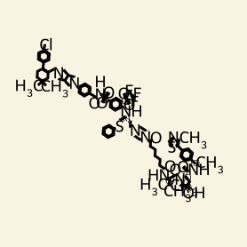 Cc1ncsc1-c1ccc([C@H](C)NC(=O)[C@@H]2C[C@@H](O)CN2C(=O)[C@@H](NC(=O)CCCCCC(=O)N2CCN(CC[C@H](CSc3ccccc3)Nc3ccc(S(=O)(=O)NC(=O)c4ccc(N5CC6CN(CC7=C(c8ccc(Cl)cc8)CCC(C)(C)C7)CC6C5)cc4)cc3S(=O)(=O)C(F)(F)F)CC2)C(C)(C)C)cc1